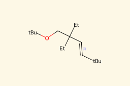 CCC(/C=C/C(C)(C)C)(CC)COC(C)(C)C